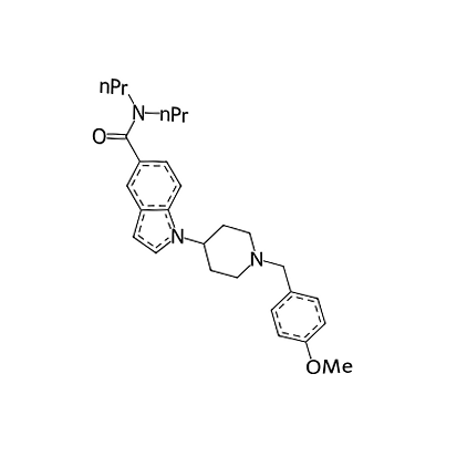 CCCN(CCC)C(=O)c1ccc2c(ccn2C2CCN(Cc3ccc(OC)cc3)CC2)c1